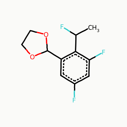 CC(F)c1c(F)cc(F)cc1C1OCCO1